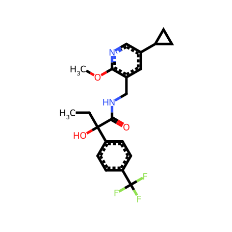 CCC(O)(C(=O)NCc1cc(C2CC2)cnc1OC)c1ccc(C(F)(F)F)cc1